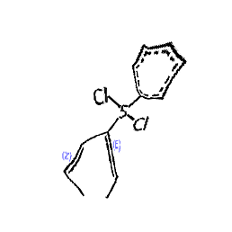 C/C=C\C(=C/C)S(Cl)(Cl)c1ccccc1